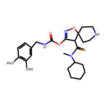 COc1ccc(CNC(=O)OC2=NOC3(CCNCC3)C2C(=S)N(C)C2CCCCC2)cc1OC